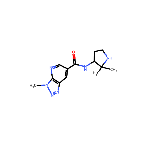 Cn1nnc2cc(C(=O)NC3CCNC3(C)C)cnc21